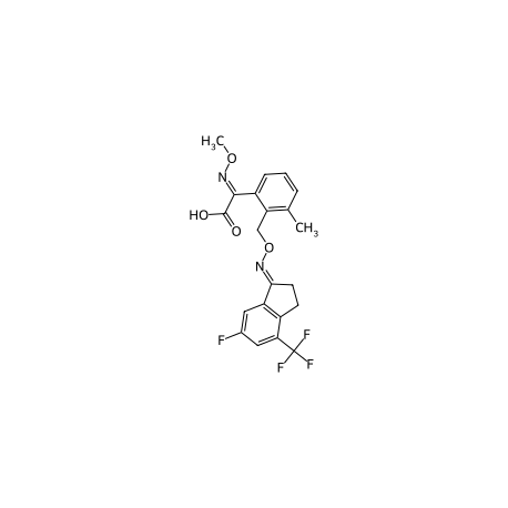 CO/N=C(/C(=O)O)c1cccc(C)c1CO/N=C1\CCc2c1cc(F)cc2C(F)(F)F